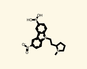 CN1CCCC1CCn1c2ccc(N(O)O)cc2c2cc([N+](=O)[O-])ccc21